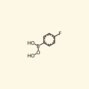 OOB(O)c1ccc(F)cc1